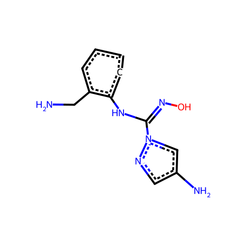 NCc1ccccc1NC(=NO)n1cc(N)cn1